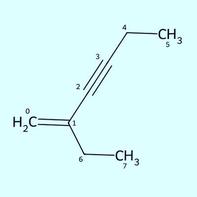 C=C(C#CCC)CC